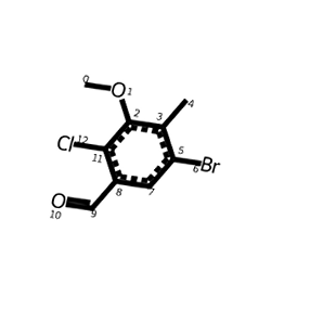 COc1c(C)c(Br)cc(C=O)c1Cl